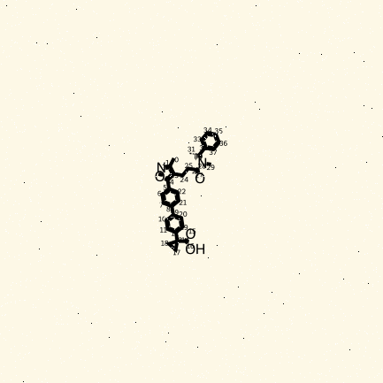 Cc1noc(-c2ccc(-c3ccc(C4(C(=O)O)CC4)cc3)cc2)c1CCC(=O)N(C)[C@H](C)c1ccccc1